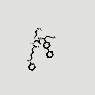 NCCC[C@@H](NC(=O)CCCCNc1ccccn1)C(=O)NC(CC(=O)O)c1ccc(-c2ccccc2)cc1